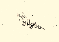 CCC(=O)CCCCC[C@H](NC(=O)C1CCN(C)CC1)C(=O)NCc1csc(-c2ccccc2)n1